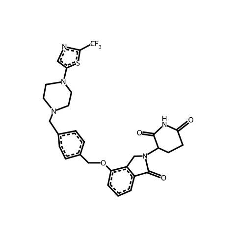 O=C1CCC(N2Cc3c(OCc4ccc(CN5CCN(c6cnc(C(F)(F)F)s6)CC5)cc4)cccc3C2=O)C(=O)N1